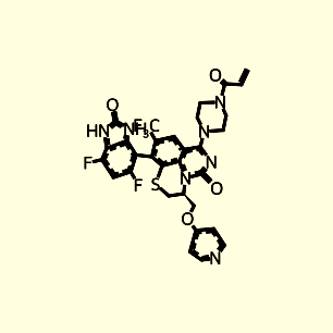 C=CC(=O)N1CCN(c2nc(=O)n3c4c(c(-c5c(F)cc(F)c6[nH]c(=O)[nH]c56)c(C(F)(F)F)cc24)SC[C@@H]3COc2ccncc2)CC1